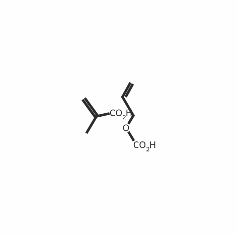 C=C(C)C(=O)O.C=CCOC(=O)O